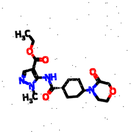 CCOC(=O)c1cnn(C)c1NC(=O)[C@H]1CC[C@H](N2CCOCC2=O)CC1